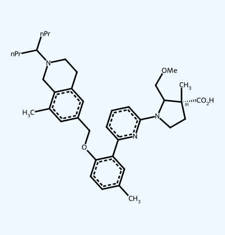 CCCC(CCC)N1CCc2cc(COc3ccc(C)cc3-c3cccc(N4CC[C@@](C)(C(=O)O)C4COC)n3)cc(C)c2C1